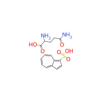 NC(=O)CCC(N)C(=O)O.O=S(=O)(O)c1ccc2cccccc1-2